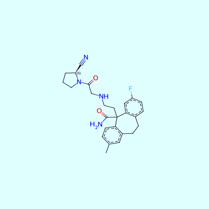 Cc1ccc2c(c1)CCc1ccc(F)cc1C2(CCNCC(=O)N1CCC[C@H]1C#N)C(N)=O